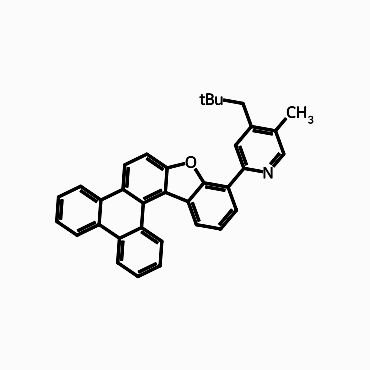 Cc1cnc(-c2cccc3c2oc2ccc4c5ccccc5c5ccccc5c4c23)cc1CC(C)(C)C